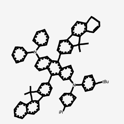 CC(C)c1ccc(N(c2ccc(C(C)(C)C)cc2)c2ccc3c(-c4ccc5c(c4)C(C)(C)c4c-5ccc5c4C=CCC5)c4cc(N(c5ccccc5)c5ccccc5)ccc4c(-c4ccc5c(c4)C(C)(C)c4c-5ccc5ccccc45)c3c2)cc1